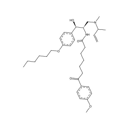 C=CC(C)N(C)C[C@@H](NC(=O)CCCCCC(=O)c1ccc(OC)cc1)[C@H](O)c1ccc(OCCCCCC)cc1